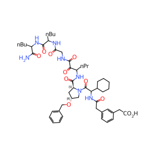 CCCCC(NC(=O)C(CCCC)NC(=O)CNC(=O)C(=O)C(CCC)NC(=O)[C@@H]1C[C@@H](OCc2ccccc2)CN1C(=O)C(NC(=O)Cc1cccc(CC(=O)O)c1)C1CCCCC1)C(N)=O